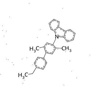 CCc1ccc(-c2cc(C)c(-n3c4ccccc4c4ccccc43)cc2C)cc1